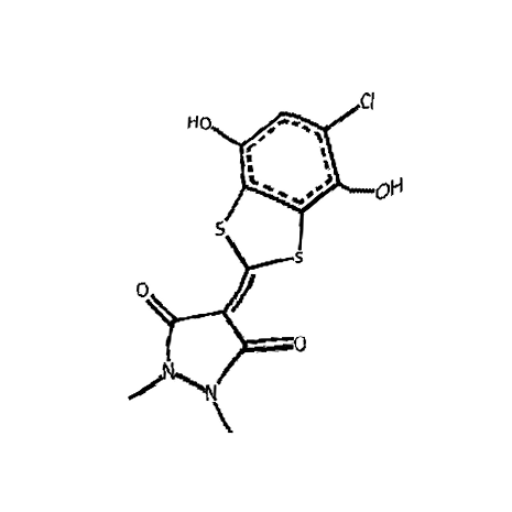 CN1C(=O)C(=C2Sc3c(O)cc(Cl)c(O)c3S2)C(=O)N1C